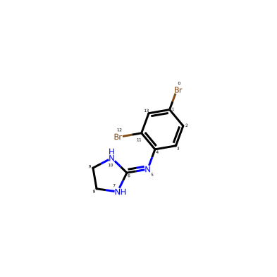 Brc1ccc(N=C2NCCN2)c(Br)c1